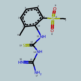 Cc1cccc(S(C)(=O)=O)c1NC(=S)NC(=N)N